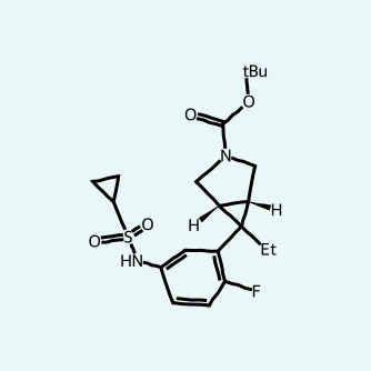 CCC1(c2cc(NS(=O)(=O)C3CC3)ccc2F)[C@@H]2CN(C(=O)OC(C)(C)C)C[C@@H]21